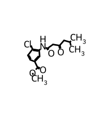 COC(=O)c1ccc(Cl)c(NC(=O)CC(=O)CC(C)C)c1